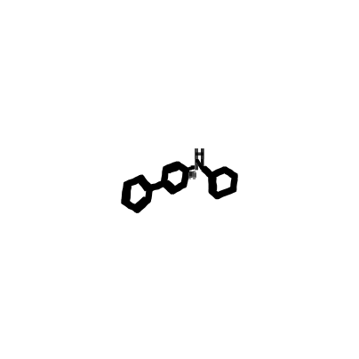 C1=C[C@H](NC2=CCCCC2)CC=C1c1ccccc1